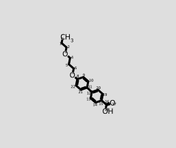 CCCOCCCOc1ccc(-c2ccc(C(=O)O)cc2)cc1